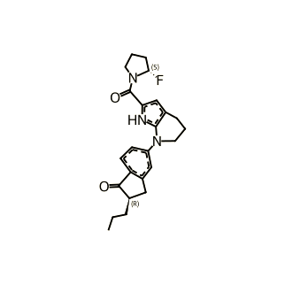 CCC[C@@H]1Cc2cc(N3CCCc4cc(C(=O)N5CCC[C@@H]5F)[nH]c43)ccc2C1=O